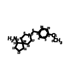 COc1ccc(CN2CCC3(CCCC3N)CC2)cc1